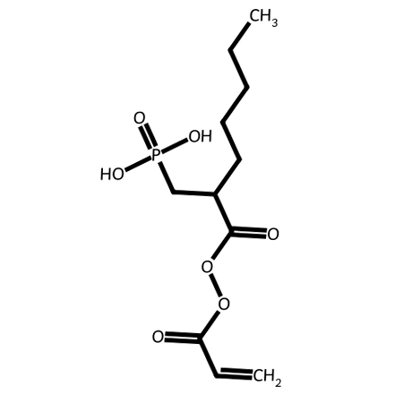 C=CC(=O)OOC(=O)C(CCCCC)CP(=O)(O)O